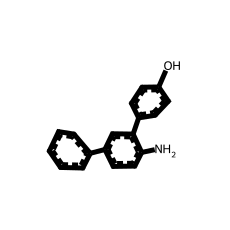 Nc1ccc(-c2ccccc2)cc1-c1ccc(O)cc1